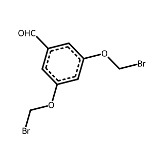 O=Cc1cc(OCBr)cc(OCBr)c1